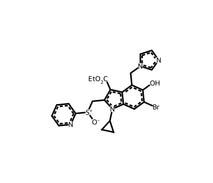 CCOC(=O)c1c(C[S+]([O-])c2ccccn2)n(C2CC2)c2cc(Br)c(O)c(Cn3ccnc3)c12